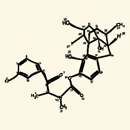 CC(C(=O)c1cccc(Cl)c1)N(C)C(=O)Oc1ccc2c(c1O)[C@]13CCN(C)[C@H](C2)[C@]1(O)CCC(O)C3I